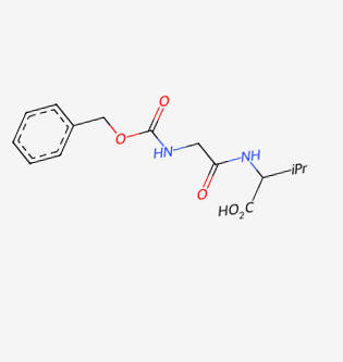 CC(C)C(NC(=O)CNC(=O)OCc1ccccc1)C(=O)O